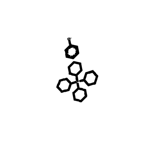 C1CCC([P+](C2CCCCC2)(C2CCCCC2)C2CCCCC2)CC1.[O-]c1ccccc1